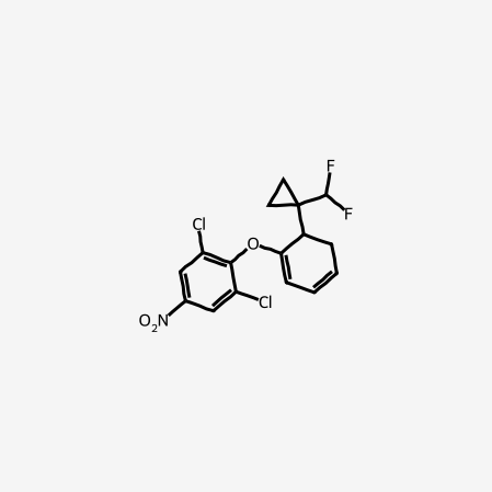 O=[N+]([O-])c1cc(Cl)c(OC2=CC=CCC2C2(C(F)F)CC2)c(Cl)c1